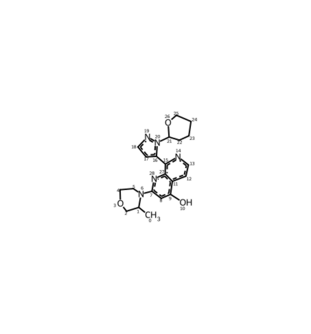 CC1COCCN1c1cc(O)c2ccnc(-c3ccnn3C3CCCCO3)c2n1